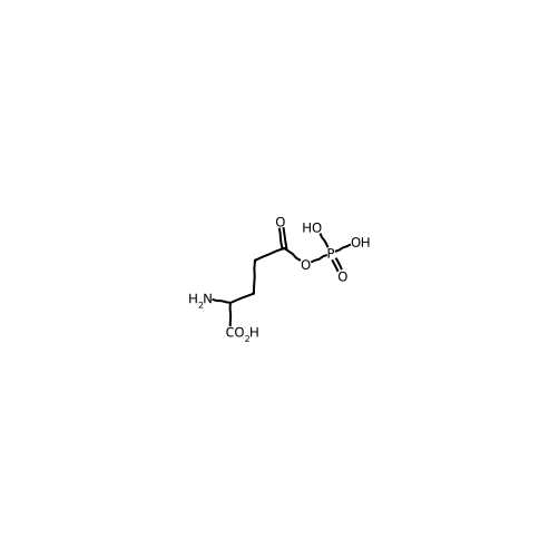 NC(CCC(=O)OP(=O)(O)O)C(=O)O